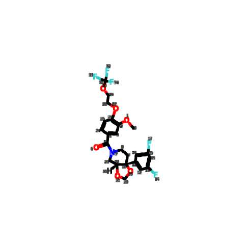 COc1cc(C(=O)N2CC[C@]3(c4cc(F)cc(F)c4)OCO[C@@H]3C2)ccc1OCCOC(F)(F)F